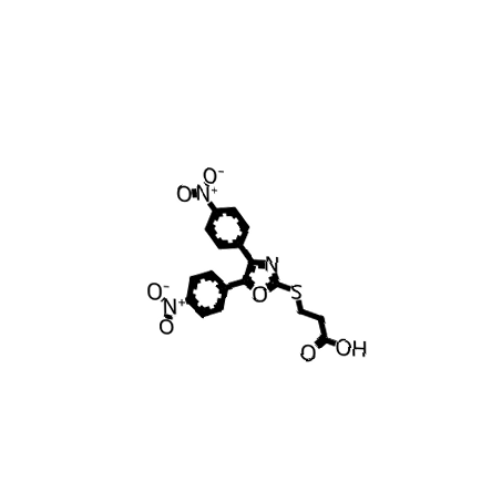 O=C(O)CCSc1nc(-c2ccc([N+](=O)[O-])cc2)c(-c2ccc([N+](=O)[O-])cc2)o1